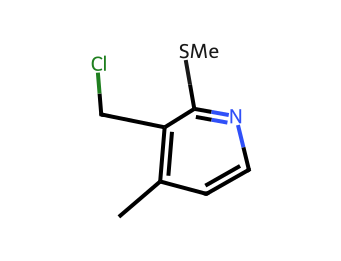 CSc1nccc(C)c1CCl